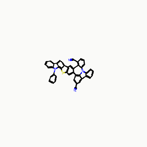 N#Cc1cc2c3c(c1)c1ccccc1n3-c1cccc(C#N)c1-c1cc3c(cc1-2)sc1c3ccc2c3ccccc3n(-c3ccccc3)c21